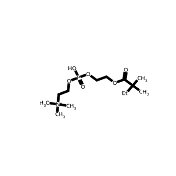 CCC(C)(C)C(=O)OCCOP(=O)(O)OCC[N+](C)(C)C